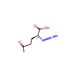 CC(=O)CC[C@H](N=[N+]=[N-])C(=O)O